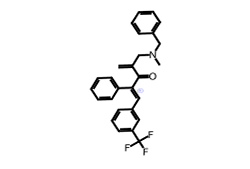 C=C(CN(C)Cc1ccccc1)C(=O)/C(=C/c1cccc(C(F)(F)F)c1)c1ccccc1